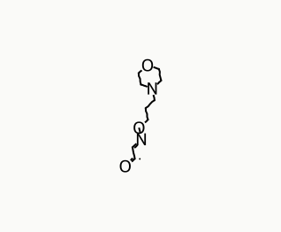 O=[C]C=NOCCCN1CCOCC1